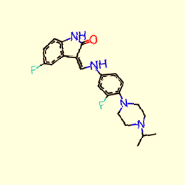 CC(C)N1CCN(c2ccc(NC=C3C(=O)Nc4ccc(F)cc43)cc2F)CC1